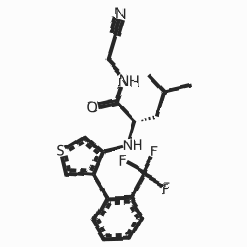 CC(C)C[C@H](Nc1cscc1-c1ccccc1C(F)(F)F)C(=O)NCC#N